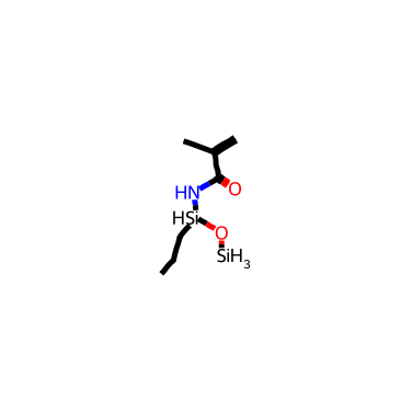 C=C(C)C(=O)N[SiH](CCC)O[SiH3]